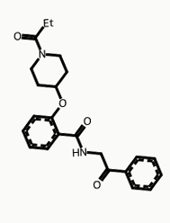 CCC(=O)N1CCC(Oc2ccccc2C(=O)NCC(=O)c2ccccc2)CC1